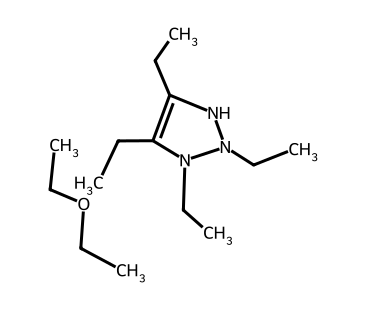 CCC1=C(CC)N(CC)N(CC)N1.CCOCC